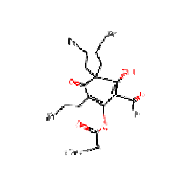 CCCCCCCCCCCC(=O)OC1=C(CCC(C)C)C(=O)C(CCC(C)C)(CCC(C)C)C(O)=C1C(=O)C(C)C